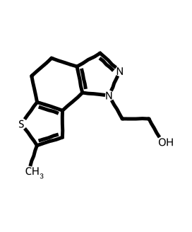 Cc1cc2c(s1)CCc1cnn(CCO)c1-2